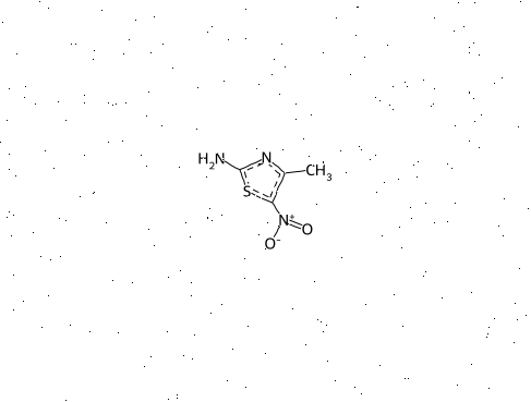 Cc1nc(N)sc1[N+](=O)[O-]